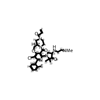 C=CC(=O)N1CCN2C(=O)c3c(N4CC(NCCNC)C(=O)C4(C)C)nc(-c4ccccc4F)c(Cl)c3OC[C@H]2C1